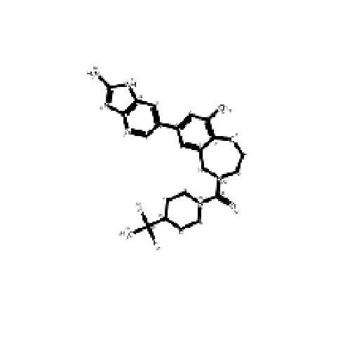 Cc1cc(-c2cnc3nc(N)[nH]c3c2)cc2c1OCCN(C(=O)N1CCC(C(C)(F)F)CC1)C2